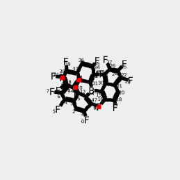 Fc1cc2c(F)c(F)c(F)c(F)c2c(B(c2c(F)c(F)cc3c(F)c(F)c(F)c(F)c23)c2c(F)c(F)cc3c(F)c(F)c(F)c(F)c23)c1F